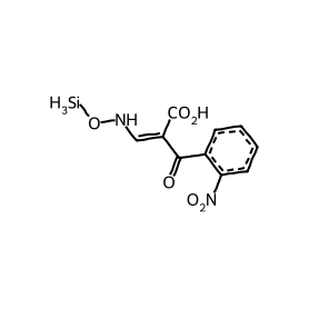 O=C(O)/C(=C\NO[SiH3])C(=O)c1ccccc1[N+](=O)[O-]